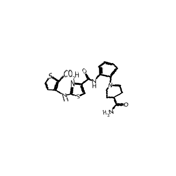 NC(=O)C1CCN(c2ccccc2NC(=O)c2csc(Nc3ccsc3C(=O)O)n2)CC1